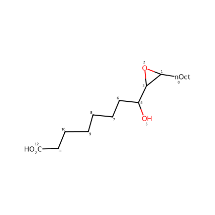 CCCCCCCCC1OC1C(O)CCCCCCC(=O)O